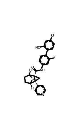 N#Cc1cc(Cl)ccc1-c1ccc(NC(=O)[C@]23C[C@@]2(c2ccncc2)[C@@H]2CC[C@H]3O2)cc1F